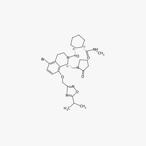 CNC(=O)[C@H]1CCCC[C@H]1C(=O)N1CCc2c(Br)ccc(OCc3noc(C(C)C)n3)c2[C@H]1CN1CCCC1=O